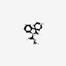 CCCCOC(=O)N1C(=O)C2(CCNCC2)c2ccccc21